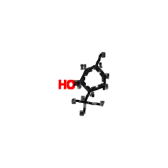 Cc1c[c]c(C(C)(C)C)c(O)c1